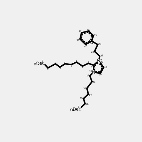 CCCCCCCCCCCCCCCCCCc1n(CCCCCCCCCCCCCCCC)cc[n+]1CCCc1ccccc1